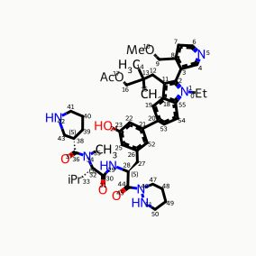 CCn1c(-c2cnccc2COC)c(CC(C)(C)COC(C)=O)c2cc(-c3cc(O)cc(C[C@H](NC(=O)[C@H](C(C)C)N(C)C(=O)[C@H]4CCCNC4)C(=O)N4CCCCN4)c3)ccc21